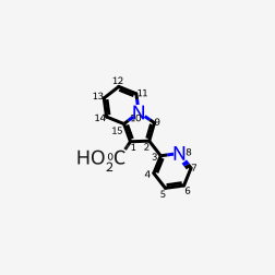 O=C(O)c1c(-c2ccccn2)cn2ccccc12